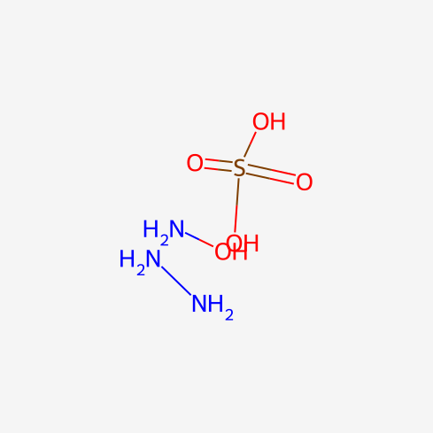 NN.NO.O=S(=O)(O)O